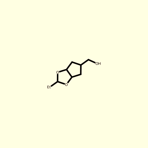 CCC1O[C]2CC(CO)CC2O1